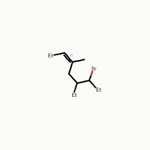 CC/C=C(/C)CC(CC)C(Br)CC